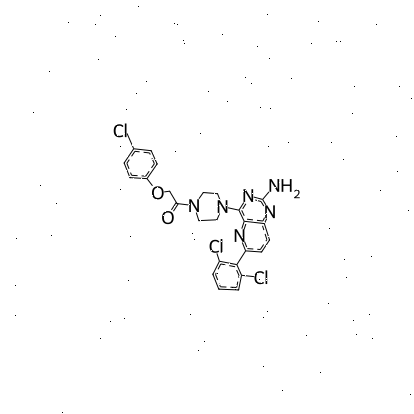 Nc1nc(N2CCN(C(=O)COc3ccc(Cl)cc3)CC2)c2nc(-c3c(Cl)cccc3Cl)ccc2n1